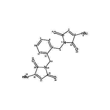 CCCCC1=CC(=O)N(Cc2ccccc2CN2C(=O)C=C(CCCC)C2=O)C1=O